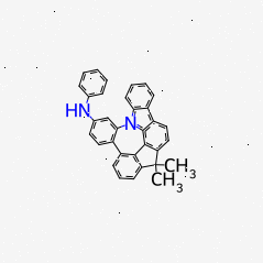 CC1(C)c2cccc3c2-c2c1ccc1c4ccccc4n(c21)-c1cc(Nc2ccccc2)ccc1-3